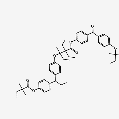 CCC(c1ccc(OC(=O)C(C)(C)CC)cc1)c1ccc(OC(C)(CC)C(CC)(CC)C(=O)Oc2ccc(C(=O)c3ccc(OC(C)(C)CC)cc3)cc2)cc1